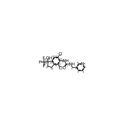 O=C(NCc1cccnc1)Nc1c(Cl)cc2c(c1Cl)CCC2(O)C(F)(F)F